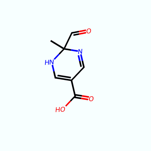 CC1(C=O)N=CC(C(=O)O)=CN1